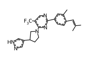 CC(C)=Cc1ccc(-c2ncc(C(F)(F)F)c(N3CCC(c4cn[nH]c4)C3)n2)cc1C